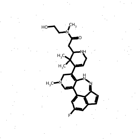 CN1C=C2C(=C(C3=CCNC(CC(=O)N(C)CCO)C3(C)C)C1)NN=C1C=Cc3cc(F)cc2c31